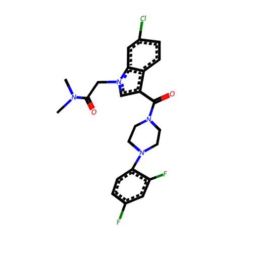 CN(C)C(=O)Cn1cc(C(=O)N2CCN(c3ccc(F)cc3F)CC2)c2ccc(Cl)cc21